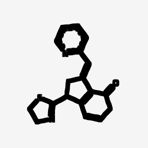 O=C1CC=CC2=C1C(=Cc1ccccn1)CC2C1=NCCS1